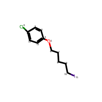 Clc1ccc(OCCCCCI)cc1